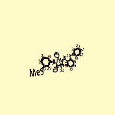 CSc1cccc(N2C(=O)N(Cc3ccccc3Cc3ccccc3)C(C)(C)C2=O)c1